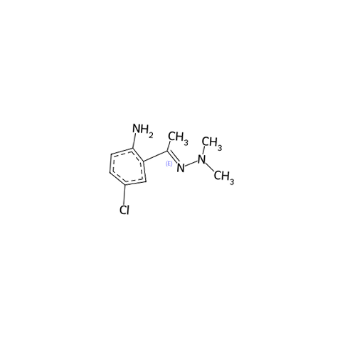 C/C(=N\N(C)C)c1cc(Cl)ccc1N